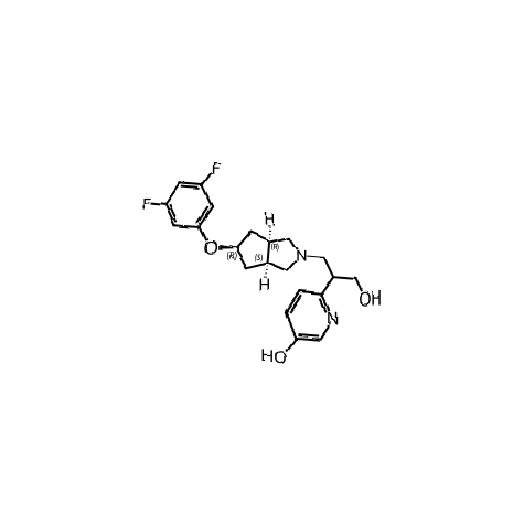 OCC(CN1C[C@H]2C[C@@H](Oc3cc(F)cc(F)c3)C[C@H]2C1)c1ccc(O)cn1